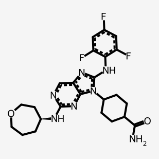 NC(=O)C1CCC(n2c(Nc3c(F)cc(F)cc3F)nc3cnc(N[C@H]4CCCOCC4)nc32)CC1